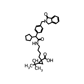 CC(C)(C)C1CC1(CCCCNC(=O)C(c1ccc(CN2Cc3ccccc3C2=O)cc1)C1CCCC1)C(=O)O